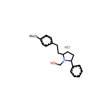 COc1ccc(CCC2CCC(c3ccccc3)N2CO)cc1.Cl